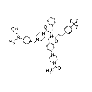 CC(=O)N1CCN(c2ccc(CN(C(=O)/C=C/c3ccc(C(F)(F)F)cc3)[C@@H](Cc3ccccc3)C(=O)N3CCN(Cc4ccc(N(C)CCO)cc4)CC3)cc2)CC1